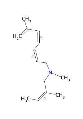 C=C(C)/C=C\C=C/CN(C)C/C(C)=C\C